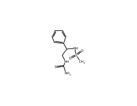 CS(=O)(=O)NC(CNC(N)=S)c1ccccc1